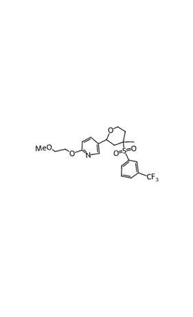 COCCOc1ccc(C2CC(C)(S(=O)(=O)c3cccc(C(F)(F)F)c3)CCO2)cn1